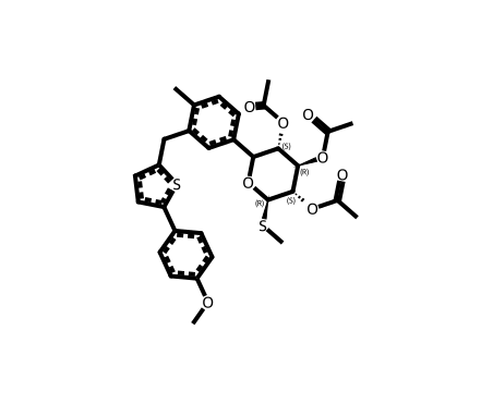 COc1ccc(-c2ccc(Cc3cc(C4O[C@H](SC)[C@@H](OC(C)=O)[C@H](OC(C)=O)[C@H]4OC(C)=O)ccc3C)s2)cc1